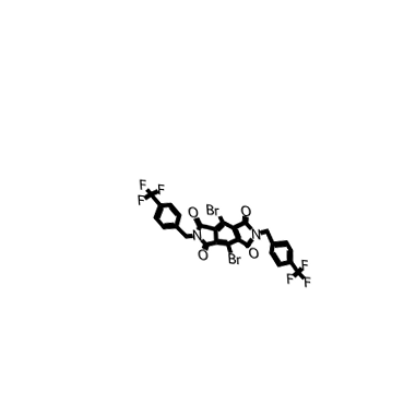 O=c1c2c(Br)c3c(=O)n(Cc4ccc(C(F)(F)F)cc4)c(=O)c3c(Br)c2c(=O)n1Cc1ccc(C(F)(F)F)cc1